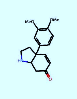 COc1ccc(C23C=CC(=O)CC2NCC3)cc1OC